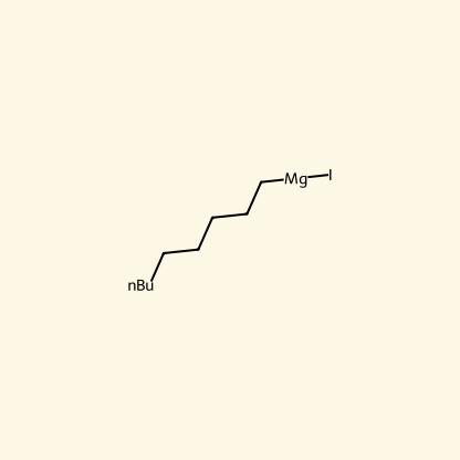 CCCCCCCC[CH2][Mg][I]